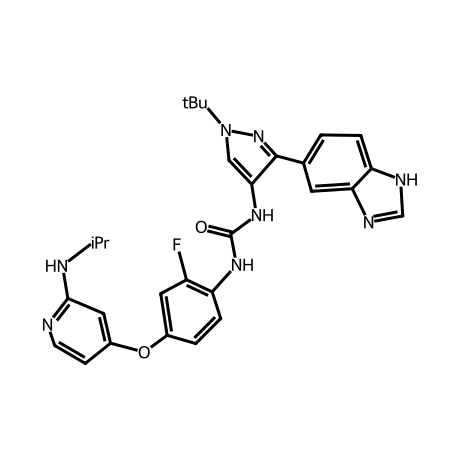 CC(C)Nc1cc(Oc2ccc(NC(=O)Nc3cn(C(C)(C)C)nc3-c3ccc4[nH]cnc4c3)c(F)c2)ccn1